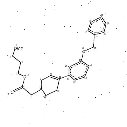 COCCCOC(=O)CC1CC=C(c2cccc(OCc3ccccc3)n2)CC1